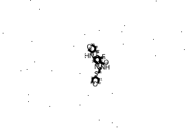 O=c1[nH]c(CSC2CCOCC2)nc2cc(NC3CCCOC3)c(F)c(F)c12